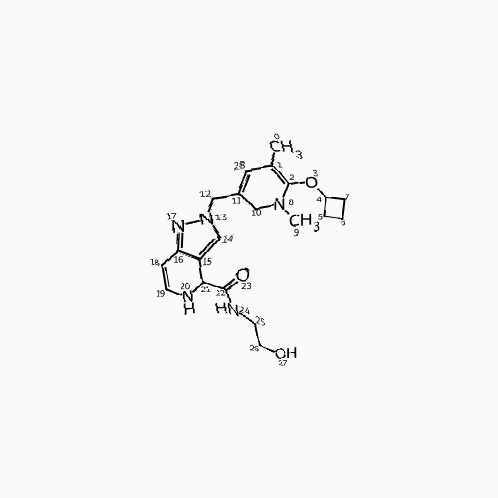 CC1=C(OC2CCC2)N(C)CC(Cn2cc3c(n2)C=CNC3C(=O)NCCO)=C1